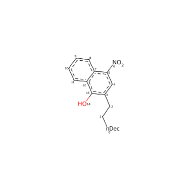 CCCCCCCCCCCCc1cc([N+](=O)[O-])c2ccccc2c1O